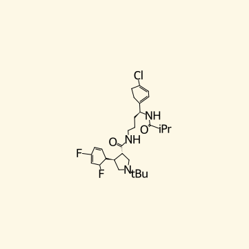 CC(C)C(=O)N[C@@H](CCCNC(=O)[C@@H]1CN(C(C)(C)C)C[C@H]1C1C=CC(F)=CC1F)C1=CC=C(Cl)CC1